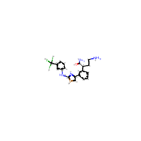 NCCC(C(N)=O)c1cccc(-c2csc(Nc3cccc(C(F)(F)F)c3)n2)c1